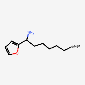 CCCCCCCCCCCCC(N)c1ccco1